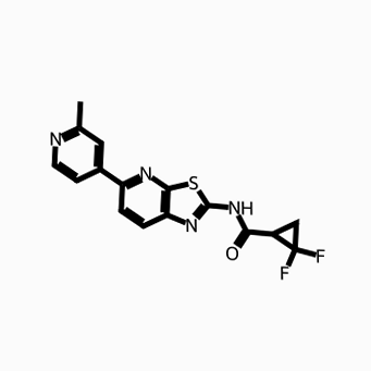 Cc1cc(-c2ccc3nc(NC(=O)C4CC4(F)F)sc3n2)ccn1